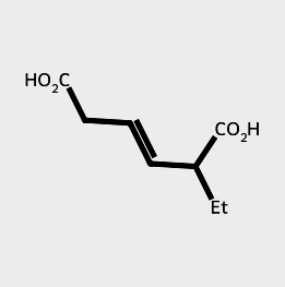 CCC(C=CCC(=O)O)C(=O)O